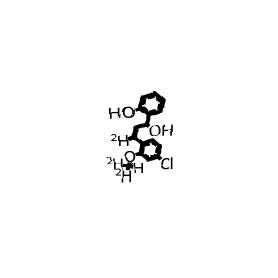 [2H]C(=CC(O)c1ccccc1O)c1ccc(Cl)cc1OC([2H])([2H])[2H]